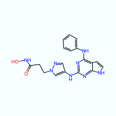 O=C(CCn1cc(Nc2nc(Nc3ccccc3)c3cc[nH]c3n2)cn1)NO